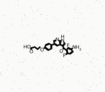 Nc1ccc(F)c(C(=O)c2c[nH]c3ncc(-c4ccc(OCCCC(=O)O)cc4)cc23)c1F